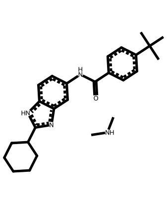 CC(C)(C)c1ccc(C(=O)Nc2ccc3[nH]c(C4CCCCC4)nc3c2)cc1.CNC